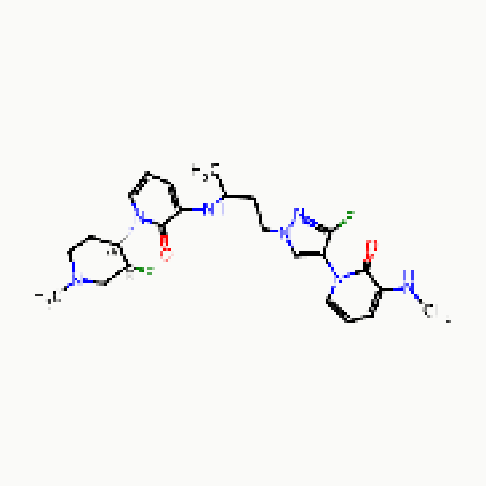 CNc1cccn(-c2cn(CCC(C)Nc3cccn([C@H]4CCN(C)C[C@@H]4F)c3=O)nc2F)c1=O